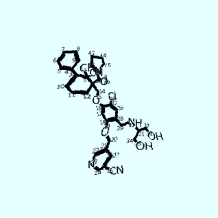 CC1(C)C(c2ccccc2)=CC=CC1(COc1cc(OCc2cncc(C#N)c2)c(CNC(CO)CO)cc1Cl)C(=O)N1CCCC1